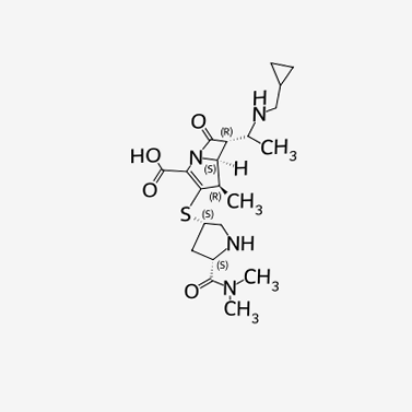 CC(NCC1CC1)[C@H]1C(=O)N2C(C(=O)O)=C(S[C@@H]3CN[C@H](C(=O)N(C)C)C3)[C@H](C)[C@H]12